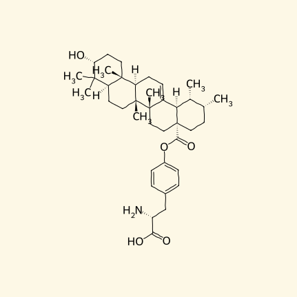 C[C@@H]1[C@H](C)CC[C@@]2(C(=O)Oc3ccc(C[C@@H](N)C(=O)O)cc3)CC[C@@]3(C)C(=CC[C@@H]4[C@@]5(C)CC[C@@H](O)C(C)(C)[C@@H]5CC[C@]43C)[C@@H]12